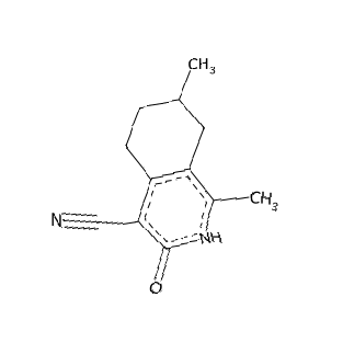 Cc1[nH]c(=O)c(C#N)c2c1CC(C)CC2